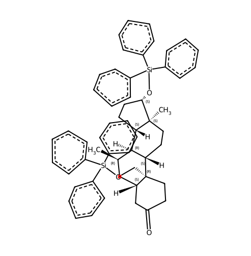 C[C@@H]1C[C@H]2CC(=O)CC[C@]2(CO[Si](c2ccccc2)(c2ccccc2)c2ccccc2)[C@H]2CC[C@]3(C)[C@@H](O[Si](c4ccccc4)(c4ccccc4)c4ccccc4)CC[C@H]3[C@H]12